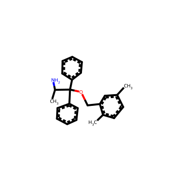 Cc1ccc(C)c(COC(c2ccccc2)(c2ccccc2)C(C)N)c1